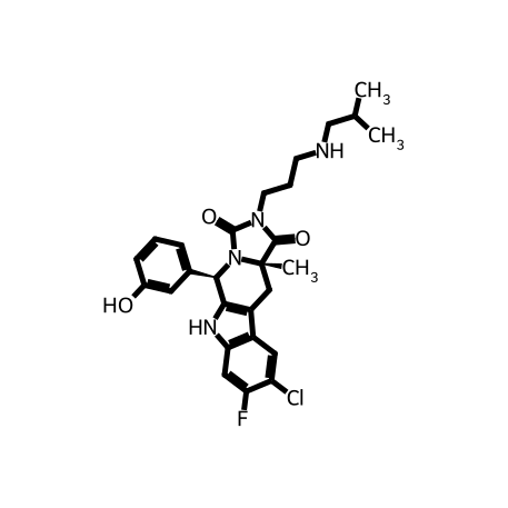 CC(C)CNCCCN1C(=O)N2[C@H](c3cccc(O)c3)c3[nH]c4cc(F)c(Cl)cc4c3C[C@@]2(C)C1=O